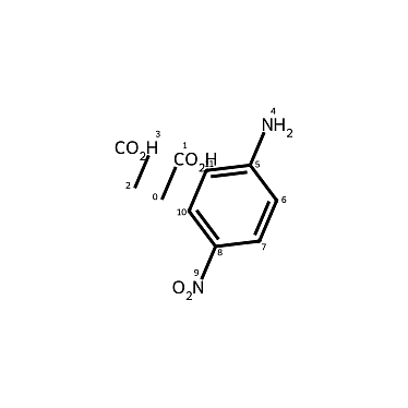 CC(=O)O.CC(=O)O.Nc1ccc([N+](=O)[O-])cc1